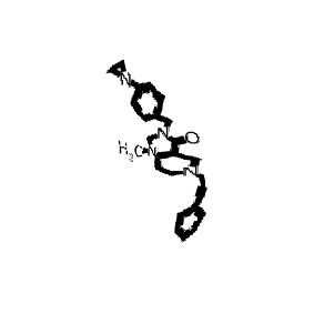 CN1CN(Cc2ccc(N3CC3)cc2)C(=O)C2=C1CCN(CC#Cc1ccccc1)C2